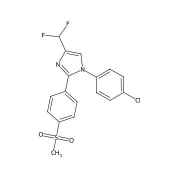 CS(=O)(=O)c1ccc(-c2nc(C(F)F)cn2-c2ccc(Cl)cc2)cc1